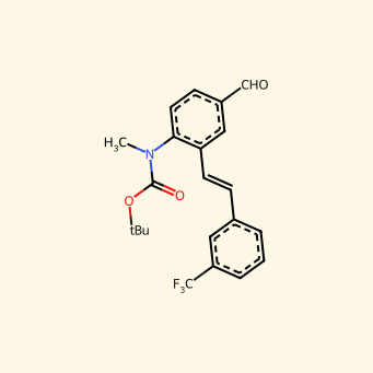 CN(C(=O)OC(C)(C)C)c1ccc(C=O)cc1/C=C/c1cccc(C(F)(F)F)c1